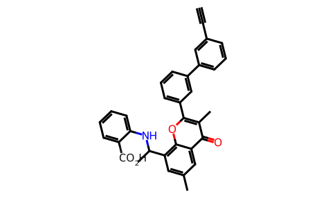 C#Cc1cccc(-c2cccc(-c3oc4c(C(C)Nc5ccccc5C(=O)O)cc(C)cc4c(=O)c3C)c2)c1